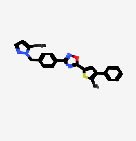 O=C(O)c1ccnn1Cc1ccc(-c2noc(-c3cc(-c4ccccc4)c(C(F)(F)F)s3)n2)cc1